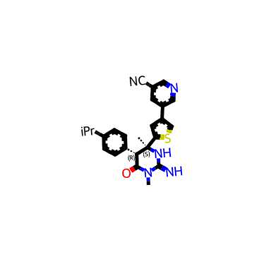 CC(C)c1ccc([C@H]2C(=O)N(C)C(=N)N[C@]2(C)c2cc(-c3cncc(C#N)c3)cs2)cc1